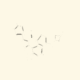 CCCN1CC(Oc2ccc(C(=O)c3c(-c4ccccc4C)nsc3-c3ccc(O)cc3)cc2)C1.Cl